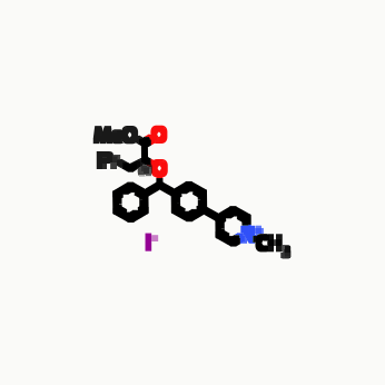 COC(=O)[C@H](CC(C)C)OC(c1ccccc1)c1ccc(-c2cc[n+](C)cc2)cc1.[I-]